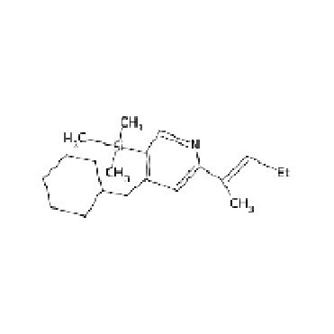 CC/C=C(\C)c1cc(CC2CCCCC2)c([Si](C)(C)C)cn1